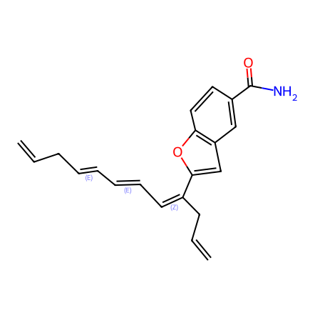 C=CC/C=C/C=C/C=C(/CC=C)c1cc2cc(C(N)=O)ccc2o1